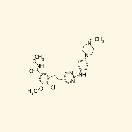 CCN1CCN(c2ccc(Nc3ncc(CCc4cc(C(=O)NOC)cc(OC)c4Cl)cn3)cc2)CC1